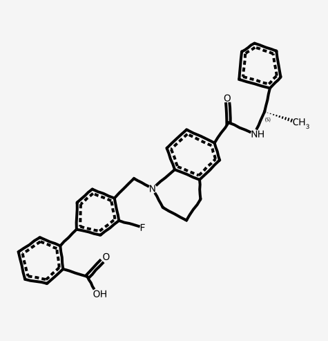 C[C@H](NC(=O)c1ccc2c(c1)CCCN2Cc1ccc(-c2ccccc2C(=O)O)cc1F)c1ccccc1